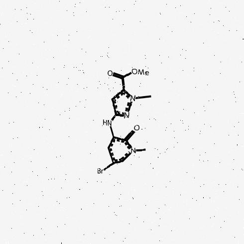 COC(=O)c1cc(Nc2cc(Br)cn(C)c2=O)nn1C